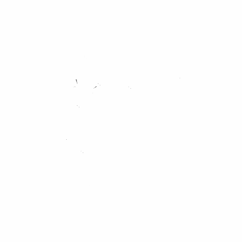 CCO[C@@H]1CN(C2CCC(O)(c3ccc(C)cn3)CC2)C[C@@H]1NC(=O)CNC(=O)c1cccc(C(F)(F)F)c1